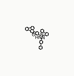 c1ccc(-c2ccc(C3=NC(c4ccccc4-c4ccccc4)=NC(c4ccc5c(c4)oc4cc6c7c(cccc7c45)-c4ccccc4-6)N3)cc2)cc1